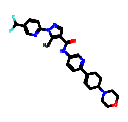 Cc1c(C(=O)Nc2ccc(C3=CCC(N4CCOCC4)CC3)nc2)cnn1-c1ccc(C(F)F)cn1